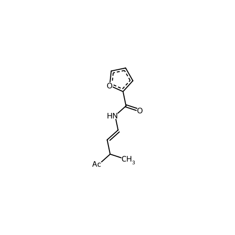 CC(=O)C(C)/C=C/NC(=O)c1ccco1